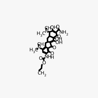 C=CCCOC(=O)Nc1cc(N(C)C)c2c(c1O)C(=O)C1=C(O)C3(O)C(=O)C(C(N)=O)=C(O)C(N(C)C)C3CC1C2